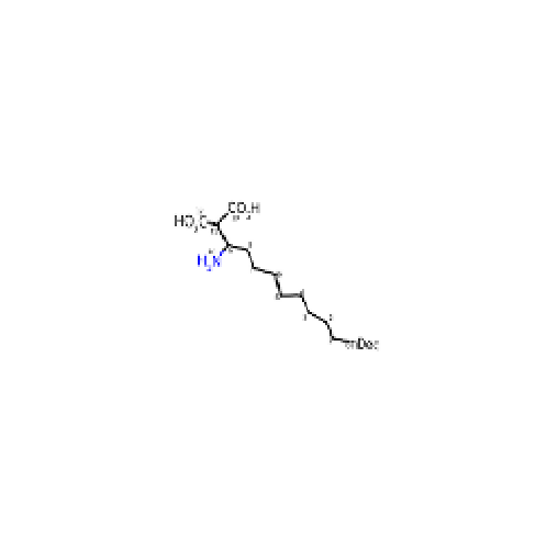 CCCCCCCCCCCCCCCCCCC(N)C(C(=O)O)C(=O)O